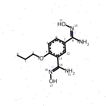 CCCOc1ccc(/C(N)=N\O)cc1/C(N)=N/O